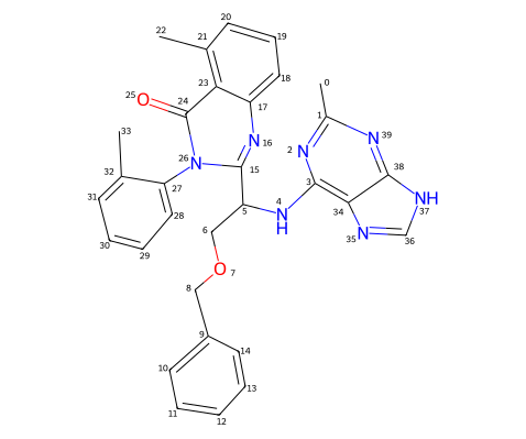 Cc1nc(NC(COCc2ccccc2)c2nc3cccc(C)c3c(=O)n2-c2ccccc2C)c2nc[nH]c2n1